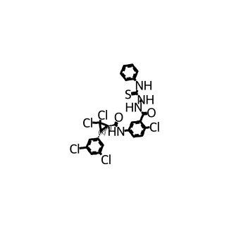 O=C(NNC(=S)Nc1ccccc1)c1cc(NC(=O)[C@H]2[C@H](c3cc(Cl)cc(Cl)c3)C2(Cl)Cl)ccc1Cl